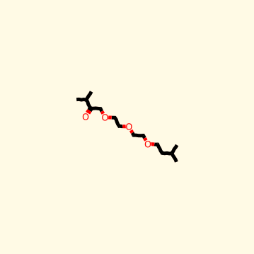 CC(C)CCOCCOCCOCC(=O)C(C)C